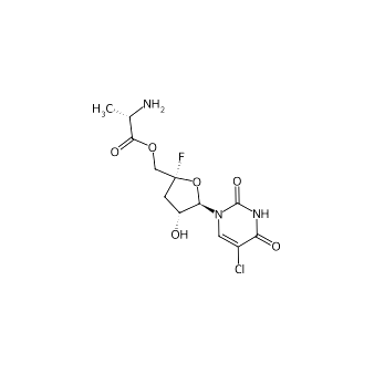 C[C@H](N)C(=O)OC[C@]1(F)C[C@@H](O)[C@H](n2cc(Cl)c(=O)[nH]c2=O)O1